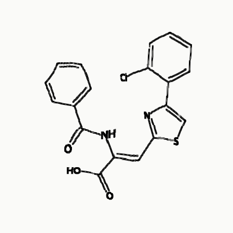 O=C(O)C(=Cc1nc(-c2ccccc2Cl)cs1)NC(=O)c1ccccc1